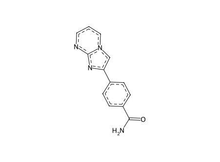 NC(=O)c1ccc(-c2cn3cccnc3n2)cc1